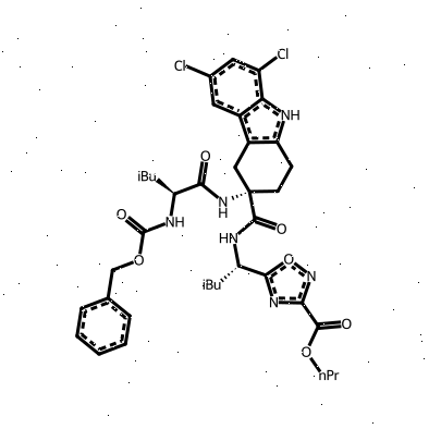 CCCOC(=O)c1noc([C@@H](NC(=O)[C@]2(NC(=O)[C@@H](NC(=O)OCc3ccccc3)C(C)CC)CCc3[nH]c4c(Cl)cc(Cl)cc4c3C2)C(C)CC)n1